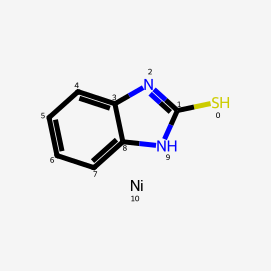 Sc1nc2ccccc2[nH]1.[Ni]